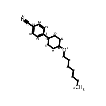 CCCCCCCOC1CCC(c2ccc(C#N)cc2)CC1